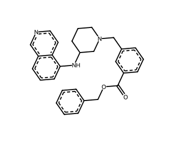 O=C(OCc1ccccc1)c1cccc(CN2CCCC(Nc3cccc4cnccc34)C2)c1